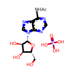 CC(=O)Nc1ncnc2c1ncn2[C@@H]1O[C@H](CO)[C@@H](O)[C@H]1O.O=P(O)(O)O